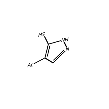 CC(=O)c1cn[nH]c1S